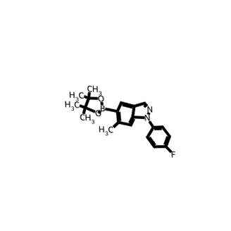 Cc1cc2c(cnn2-c2ccc(F)cc2)cc1B1OC(C)(C)C(C)(C)O1